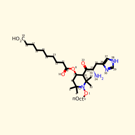 CCCCCCCCON1C(C)(C)CC(OC(=O)CCCCCCCCC(=O)O)C(C(=O)[C@@H](N)Cc2c[nH]cn2)C1(C)C